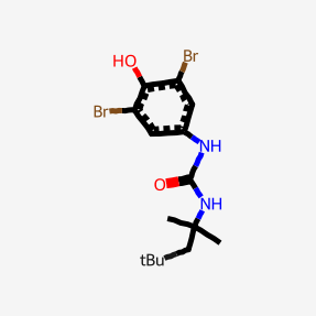 CC(C)(C)CC(C)(C)NC(=O)Nc1cc(Br)c(O)c(Br)c1